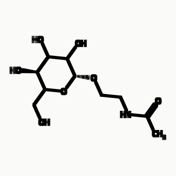 CC(=O)NCCO[C@@H]1OC(CO)[C@@H](O)C(O)C1O